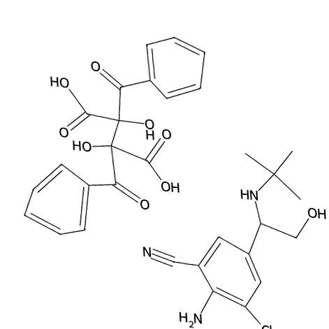 CC(C)(C)NC(CO)c1cc(Cl)c(N)c(C#N)c1.O=C(O)C(O)(C(=O)c1ccccc1)C(O)(C(=O)O)C(=O)c1ccccc1